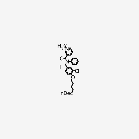 CCCCCCCCCCCCCCOc1ccc(CN(C(=O)c2ccc[n+](C)c2)c2ccccc2)cc1Cl.[I-]